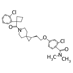 CN(C)C(=O)c1ccc(OCC[C@H]2CC23CCN(C(=O)C2(c4ccccc4Cl)CCC2)CC3)cc1Cl